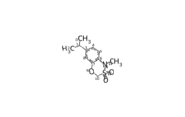 CC(C)c1ccc2c(c1)OCS(=O)(=O)N2C